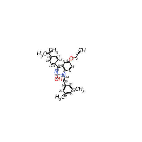 C#CCOc1ccc2c(c1)C(c1ccc(C(C)C)cc1)=NC(O)N2C=Cc1cc(C)cc(C)c1